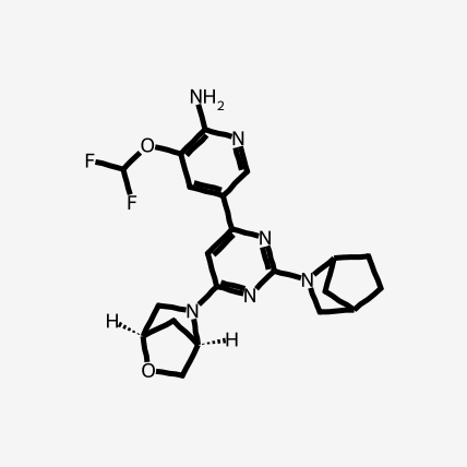 Nc1ncc(-c2cc(N3C[C@H]4C[C@@H]3CO4)nc(N3CC4CCC3C4)n2)cc1OC(F)F